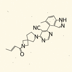 C/C=C/C(=O)N1CC2(CCN(c3ncnc(-c4c(C)ccc5[nH]ncc45)c3C#N)C2)C1